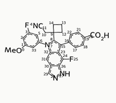 COc1cc(F)cc(-n2c(C3(CC#N)CCC3)c(-c3ccc(C(=O)O)cc3)c3c(F)c4[nH]ncc4cc32)c1